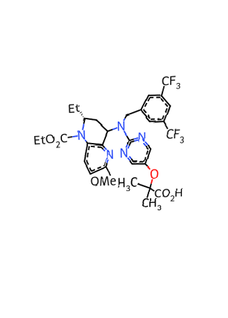 CCOC(=O)N1c2ccc(OC)nc2C(N(Cc2cc(C(F)(F)F)cc(C(F)(F)F)c2)c2ncc(OC(C)(C)C(=O)O)cn2)C[C@H]1CC